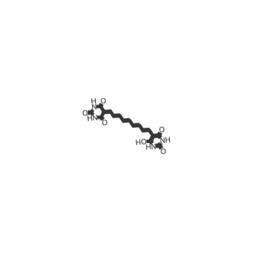 O=C1NC(=O)C(=C/C=C/C=C/C=C/C=C/c2c(O)[nH]c(=O)[nH]c2=O)C(=O)N1